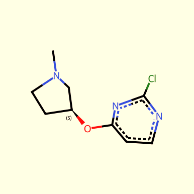 CN1CC[C@H](Oc2ccnc(Cl)n2)C1